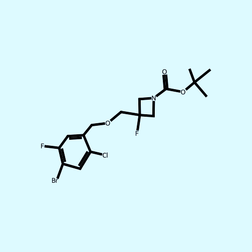 CC(C)(C)OC(=O)N1CC(F)(COCc2cc(F)c(Br)cc2Cl)C1